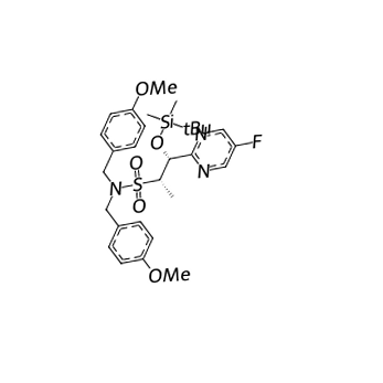 COc1ccc(CN(Cc2ccc(OC)cc2)S(=O)(=O)[C@@H](C)[C@H](O[Si](C)(C)C(C)(C)C)c2ncc(F)cn2)cc1